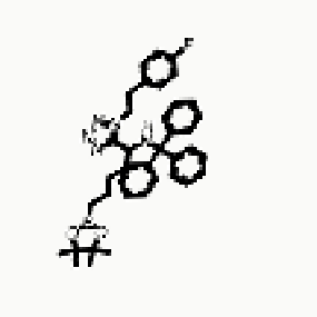 CC1(C)OB(CCCCC(NC(c2ccccc2)(c2ccccc2)c2ccccc2)c2nnnn2CCc2ccc(F)cc2)OC1(C)C